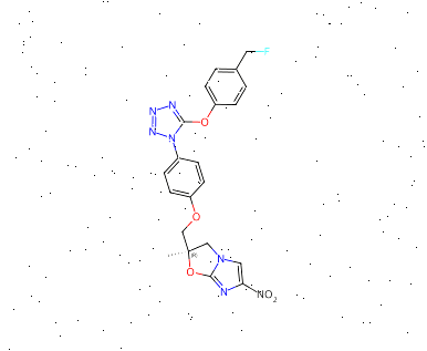 C[C@]1(COc2ccc(-n3nnnc3Oc3ccc(CF)cc3)cc2)Cn2cc([N+](=O)[O-])nc2O1